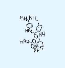 CCCCC(Oc1c(CNc2ccc(C)cc2C(=O)Nc2ccc(C(=N)N)cc2)cccc1OCC)C(=O)O